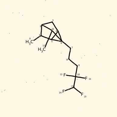 CC1C2CC3C1C3(CCCC(F)(F)C(F)F)C2C